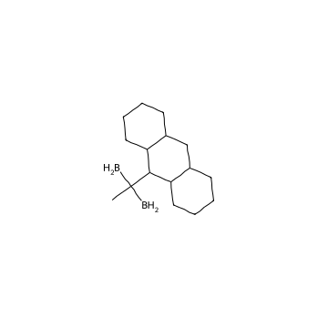 BC(B)(C)C1C2CCCCC2CC2CCCCC21